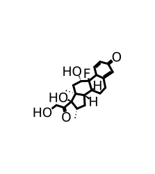 C[C@H]1C[C@H]2[C@@H]3CCC4=CC(=O)C=CC4[C@@]3(F)[C@@H](O)C[C@]2(C)[C@@]1(O)C(=O)CO